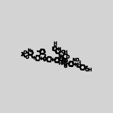 Cc1ccccc1[C@@H]1CN(Cc2ccnc3c2OCC(C)(C)O3)CCN1C1CC2(CCN(c3ccc(C(=O)NS(=O)(=O)c4ccc(NCC5CCC(C)(O)CC5)c([N+](=O)[O-])c4)c(N4c5cc6cc[nH]c6nc5O[C@H]5COCC[C@@H]54)c3)CC2)C1C